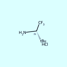 CC(C)(C)[C@H](N)C(F)(F)F.Cl